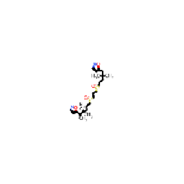 CC(c1ccno1)C(C)(C)CCC[S+]([O-])CCC[S+]([O-])CCCC(C)(C)Cc1ccno1